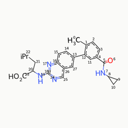 Cc1ccc(C(=O)NC2CC2)cc1-c1ccc2nc(NC(CC(C)C)C(=O)O)ncc2c1